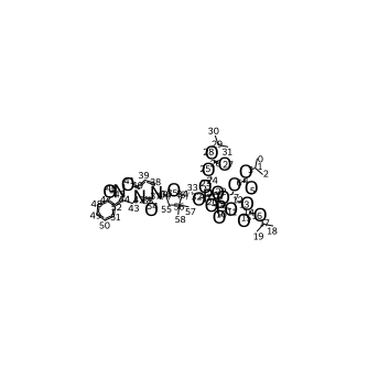 CC(C)OC(=O)OCOP(=O)(OCOC(=O)OC(C)C)OP(=O)(OCOC(=O)OC(C)C)OC[C@H]1O[C@@H](n2ccc(=O)n(Cc3noc4ccccc34)c2=O)CC1(C)C